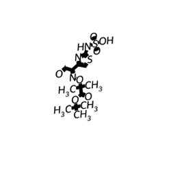 CC(C)(C)OC(=O)C(C)(C)O/N=C(/[C]=O)c1csc(NS(=O)(=O)O)n1